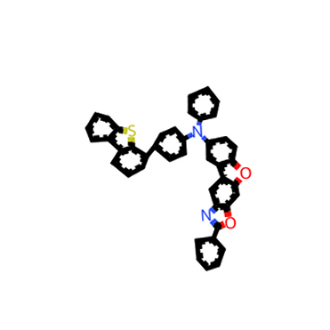 c1ccc(-c2nc3cc4c(cc3o2)oc2ccc(N(c3ccccc3)c3ccc(-c5cccc6c5sc5ccccc56)cc3)cc24)cc1